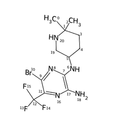 CC1(C)CCC(Nc2nc(Br)c(C(F)(F)F)nc2N)CN1